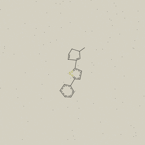 CC1C=C(c2ccc(-c3ccccc3)s2)C=CC1